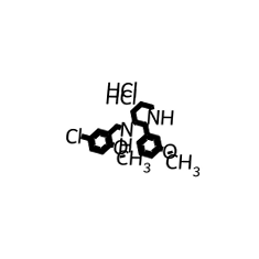 COc1cccc(C2NCCCC2NCc2cc(Cl)ccc2OC)c1.Cl.Cl